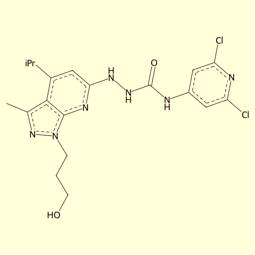 Cc1nn(CCCO)c2nc(NNC(=O)Nc3cc(Cl)nc(Cl)c3)cc(C(C)C)c12